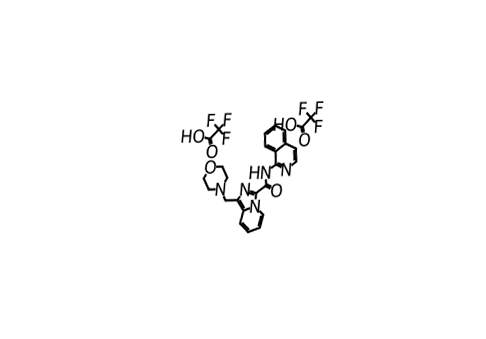 O=C(Nc1nccc2ccccc12)c1nc(CN2CCOCC2)c2ccccn12.O=C(O)C(F)(F)F.O=C(O)C(F)(F)F